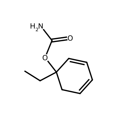 CCC1(OC(N)=O)C=CC=CC1